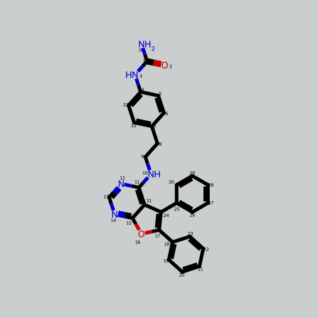 NC(=O)Nc1ccc(CCNc2ncnc3oc(-c4ccccc4)c(-c4ccccc4)c23)cc1